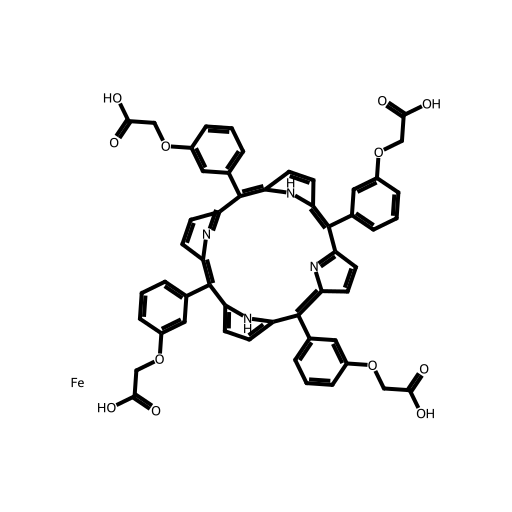 O=C(O)COc1cccc(-c2c3nc(c(-c4cccc(OCC(=O)O)c4)c4ccc([nH]4)c(-c4cccc(OCC(=O)O)c4)c4nc(c(-c5cccc(OCC(=O)O)c5)c5ccc2[nH]5)C=C4)C=C3)c1.[Fe]